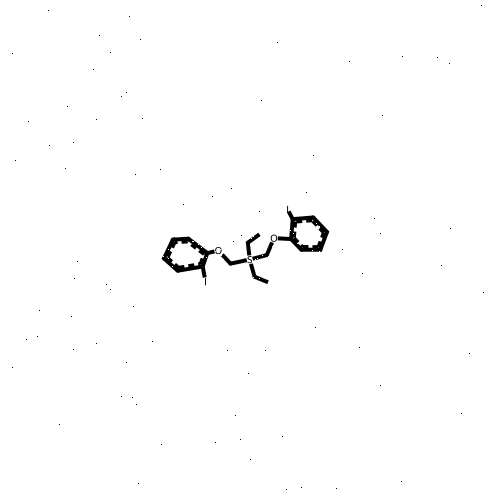 CCS(CC)(COc1ccccc1I)COc1ccccc1I